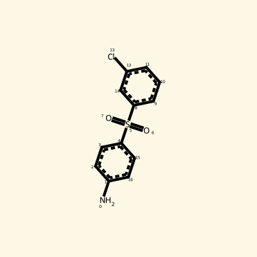 Nc1ccc(S(=O)(=O)c2cccc(Cl)c2)cc1